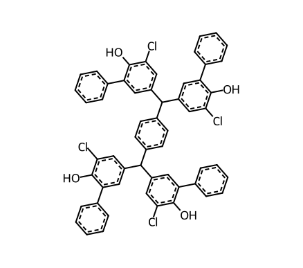 Oc1c(Cl)cc(C(c2ccc(C(c3cc(Cl)c(O)c(-c4ccccc4)c3)c3cc(Cl)c(O)c(-c4ccccc4)c3)cc2)c2cc(Cl)c(O)c(-c3ccccc3)c2)cc1-c1ccccc1